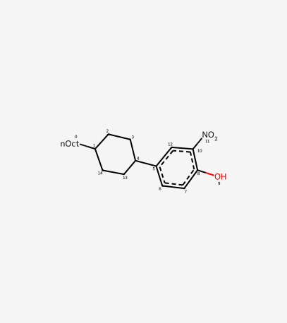 CCCCCCCCC1CCC(c2ccc(O)c([N+](=O)[O-])c2)CC1